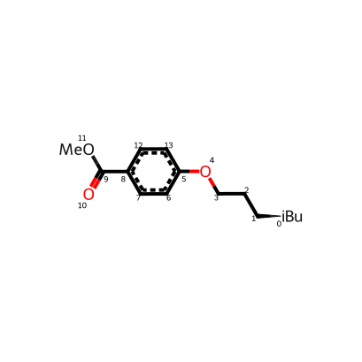 CC[C@H](C)CCCOc1ccc(C(=O)OC)cc1